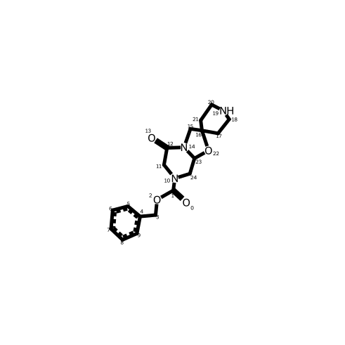 O=C(OCc1ccccc1)N1CC(=O)N2CC3(CCNCC3)OC2C1